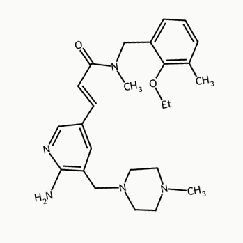 CCOc1c(C)cccc1CN(C)C(=O)/C=C/c1cnc(N)c(CN2CCN(C)CC2)c1